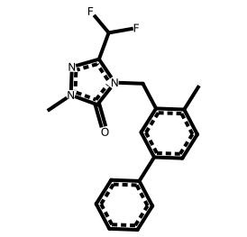 Cc1ccc(-c2ccccc2)cc1Cn1c(C(F)F)nn(C)c1=O